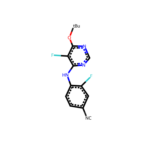 [C-]#[N+]c1ccc(Nc2ncnc(OC(C)(C)C)c2F)c(F)c1